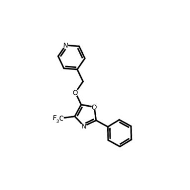 FC(F)(F)c1nc(-c2ccccc2)oc1OCc1ccncc1